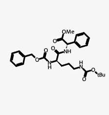 COC(=O)[C@@H](NC(=O)[C@@H](CCCNC(=O)OC(C)(C)C)NC(=O)OCc1ccccc1)c1ccccc1